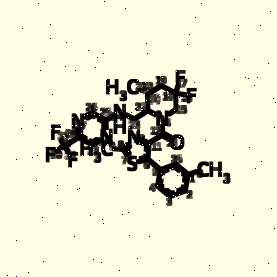 Cc1cccc(-c2sc(C)nc2C(=O)N2CC(F)(F)C[C@@H](C)C2CNc2cnc(C(F)(F)F)cn2)c1